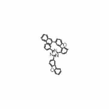 c1ccc(-c2nc(-c3ccc4oc5ccccc5c4c3)nc(-c3cccc4oc5ccc(-c6ccc7ccccc7c6)cc5c34)n2)cc1